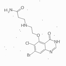 NC(=O)CCNCCOc1c(Cl)c(Br)cc2nc[nH]c(=O)c12